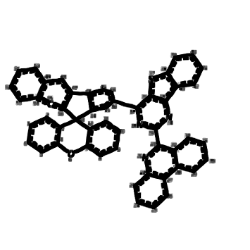 c1ccc2c(c1)Oc1ccccc1C21c2cc(-c3nc(-c4nc5ccccc5c5ccccc45)nc4c3sc3ccccc34)ccc2-c2cc3ccccc3cc21